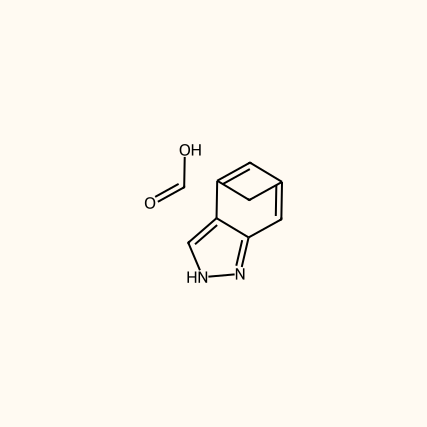 O=CO.c1c2cc3n[nH]cc3c1C2